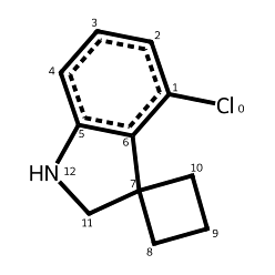 Clc1cccc2c1C1(CCC1)CN2